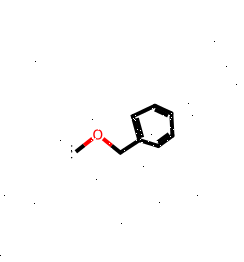 [C]OCc1ccccc1